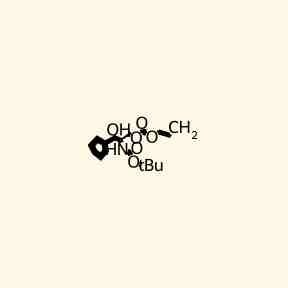 C=CCOC(=O)OC[C@@H](NC(=O)OC(C)(C)C)[C@H](O)c1ccccc1